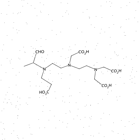 CC(C=O)N(CCC(=O)O)CCN(CCN(CC(=O)O)CC(=O)O)CC(=O)O